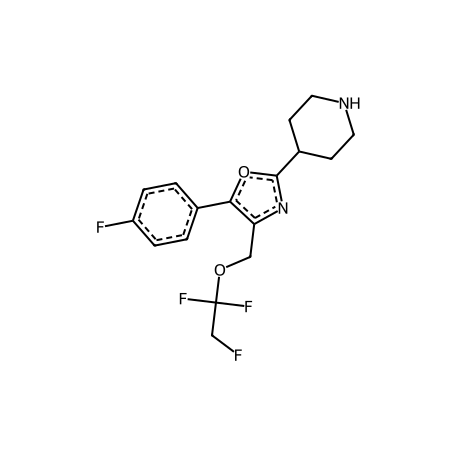 FCC(F)(F)OCc1nc(C2CCNCC2)oc1-c1ccc(F)cc1